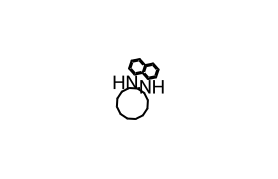 c1cc2c3c(cccc3c1)NC1(CCCCCCCCCCC1)N2